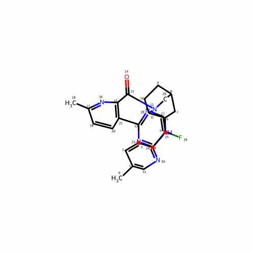 Cc1ccc(NC2CC3CCC2N(C(=O)c2nc(C)ccc2-c2ncc(F)cn2)C3)nc1